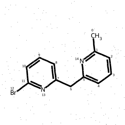 Cc1cccc(Cc2cccc(Br)n2)n1